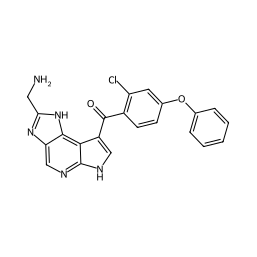 NCc1nc2cnc3[nH]cc(C(=O)c4ccc(Oc5ccccc5)cc4Cl)c3c2[nH]1